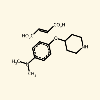 CN(C)c1ccc(OC2CCNCC2)cc1.O=C(O)/C=C/C(=O)O